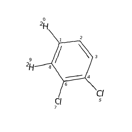 [2H]c1ccc(Cl)c(Cl)c1[2H]